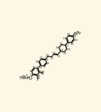 CCCCOc1ccc(-c2ccc(CC/C=C/C3CCC(c4ccc(CCC)cc4)CC3)cc2)c(F)c1F